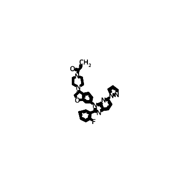 C=CC(=O)N1CCN([C@H]2COc3cc(-n4c(-c5ccccc5F)nc5ccc(-n6cccn6)nc54)ccc32)CC1